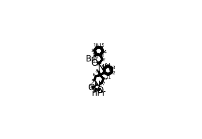 CCCS(=O)(=O)N1CCC(CNC(=O)Cc2ccccc2Br)(c2ccccc2)CC1